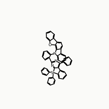 c1ccc(-c2nc(-c3ccccc3-n3c4ccccc4c4ccc5c6ccccc6oc5c43)nc3c2-c2ccccc2[Si]3(c2ccccc2)c2ccccc2)cc1